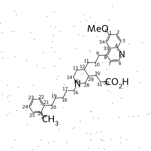 COc1ccc2nccc(CCCC3CCN(CCCCCc4ccccc4C)CC3CCC(=O)O)c2c1